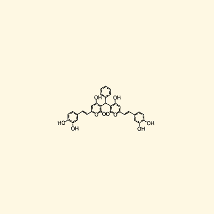 O=c1oc(C=Cc2ccc(O)c(O)c2)cc(O)c1C(c1ccccc1)c1c(O)cc(C=Cc2ccc(O)c(O)c2)oc1=O